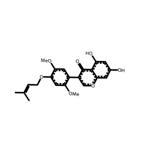 COc1cc(-c2coc3cc(O)cc(O)c3c2=O)c(OC)cc1OCC=C(C)C